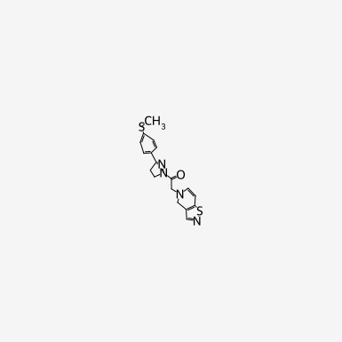 CSc1ccc(C2=NN(C(=O)CN3C=Cc4sncc4C3)CC2)cc1